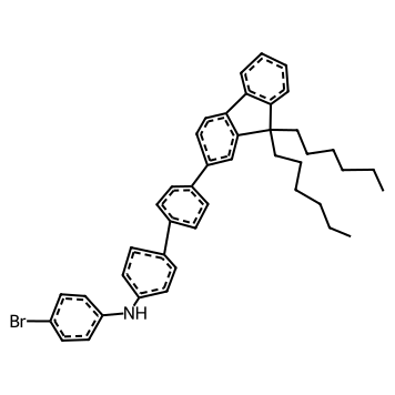 CCCCCCC1(CCCCCC)c2ccccc2-c2ccc(-c3ccc(-c4ccc(Nc5ccc(Br)cc5)cc4)cc3)cc21